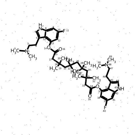 CN(C)CCc1c[nH]c2cc(F)cc(OC(=O)CC(C)(C)CC(C)(C)CC(C)(C)CC(C)(C)CC(=O)Oc3cc(F)cc4[nH]cc(CCN(C)C)c34)c12